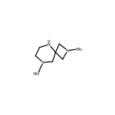 CC(C)(C)N1CCNC2(C1)CN(C(C)(C)C)C2